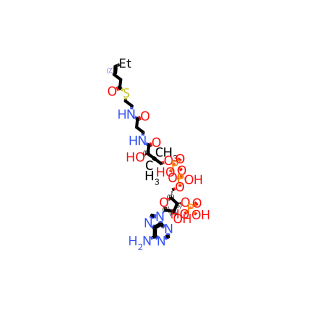 CC/C=C\CC(=O)SCCNC(=O)CCNC(=O)[C@H](O)C(C)(C)COP(=O)(O)OP(=O)(O)OC[C@H]1O[C@@H](n2cnc3c(N)ncnc32)[C@H](O)[C@@H]1OP(=O)(O)O